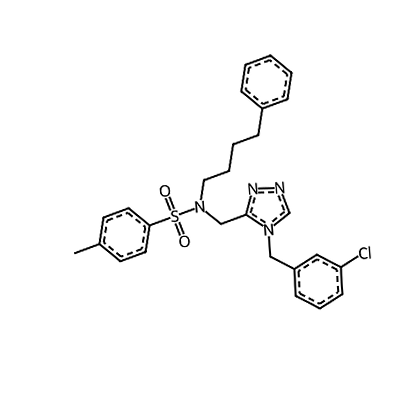 Cc1ccc(S(=O)(=O)N(CCCCc2ccccc2)Cc2nncn2Cc2cccc(Cl)c2)cc1